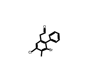 Cc1c(Cl)cc(CC=O)c(-c2ccccc2)c1Br